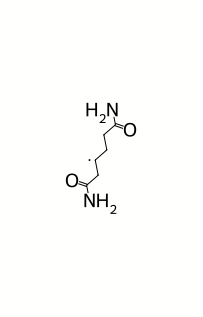 NC(=O)C[CH]CCC(N)=O